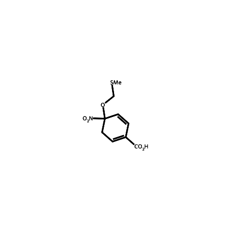 CSCOC1([N+](=O)[O-])C=CC(C(=O)O)=CC1